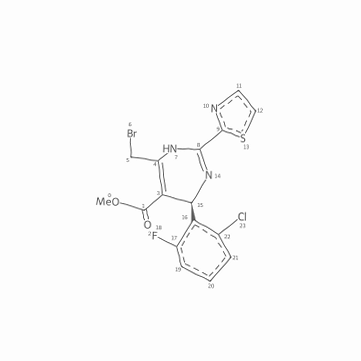 COC(=O)C1=C(CBr)NC(c2nccs2)=N[C@H]1c1c(F)cccc1Cl